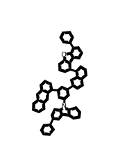 c1ccc(-c2ccc3c(c2)c2ccccc2n3-c2cc(-c3ccc4cccc(-c5cccc6oc7c(-c8ccccc8)cccc7c56)c4c3)cc(-c3cccc4cc5ccccc5cc34)c2)cc1